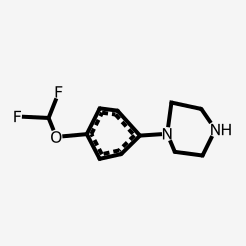 FC(F)Oc1ccc(N2CCNCC2)cc1